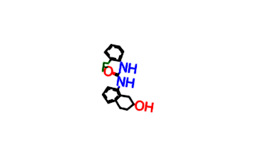 O=C(Nc1ccccc1F)Nc1cccc2c1CC(O)CC2